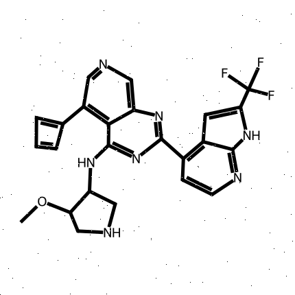 COC1CNCC1Nc1nc(-c2ccnc3[nH]c(C(F)(F)F)cc23)nc2cncc(C3=CC=C3)c12